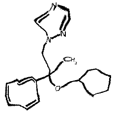 CC(Cn1cncn1)(OC1CCCC1)c1ccccc1